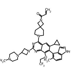 C=CC(=O)N1CC2(CCN(c3nc(N4CC(N5CCN(C)CC5)C4)nc4c(OCC(F)(F)F)c(-c5c(C)ccc6[nH]ncc56)c(C5CC5)cc34)CC2)C1